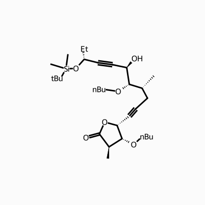 CCCCO[C@H]([C@H](O)C#C[C@@H](CC)O[Si](C)(C)C(C)(C)C)[C@H](C)CC#C[C@H]1OC(=O)[C@H](C)[C@H]1OCCCC